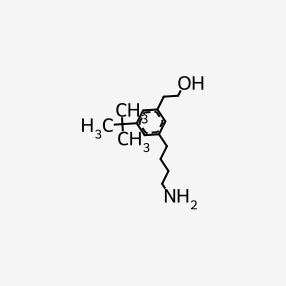 CC(C)(C)c1cc(CCO)cc(CCCCN)c1